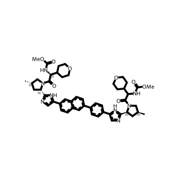 COC(=O)NC(C(=O)N1C[C@@H](C)C[C@H]1c1ncc(-c2ccc(-c3ccc4cc(-c5cnc([C@@H]6C[C@H](C)CN6C(=O)[C@@H](NC(=O)OC)C6CCOCC6)[nH]5)ccc4c3)cc2)[nH]1)C1CCOCC1